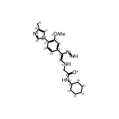 COc1cc(/C(=C/NCC(=O)NC2CCCCC2)N=N)ccc1-n1cnc(C)c1